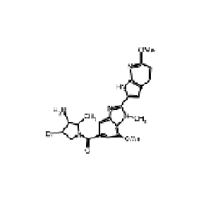 CCC1CN(C(=O)c2cc(OC)c3c(c2)nc(-c2cc4ccc(OC)nc4[nH]2)n3C)C(C)C1N